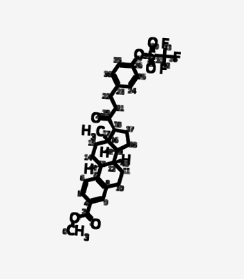 COC(=O)c1ccc2c(c1)CC[C@@H]1[C@@H]2CC[C@]2(C)[C@@H](C(=O)CCc3ccc(OS(=O)(=O)C(F)(F)F)cc3)CC[C@@H]12